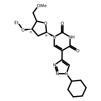 CCO[C@@H]1C[C@H](n2cc(-c3cn(C4CCCCC4)nn3)c(=O)[nH]c2=O)OC1COC